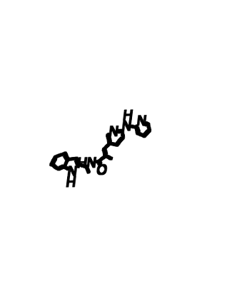 CC(=Cc1ccc(Nc2ccccn2)nc1)C(=O)NC(C)c1cc2ccccc2[nH]1